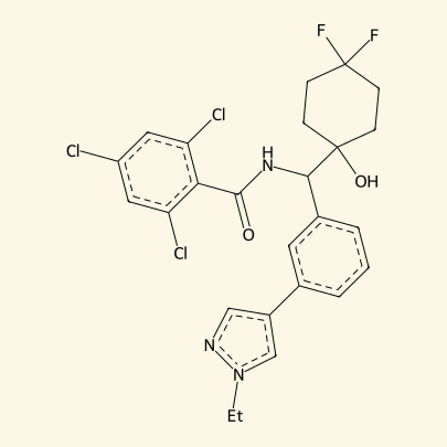 CCn1cc(-c2cccc(C(NC(=O)c3c(Cl)cc(Cl)cc3Cl)C3(O)CCC(F)(F)CC3)c2)cn1